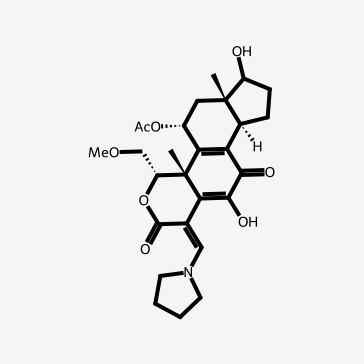 COC[C@H]1OC(=O)/C(=C\N2CCCC2)C2=C(O)C(=O)C3=C([C@H](OC(C)=O)C[C@]4(C)C(O)CC[C@@H]34)[C@]21C